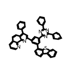 c1ccc(-c2nc(-c3ccccc3)nc(-c3cc(-c4cc(-c5ccccc5)c5ccc6cccnc6c5n4)cc(-c4cccc5c4sc4ccccc45)c3)n2)cc1